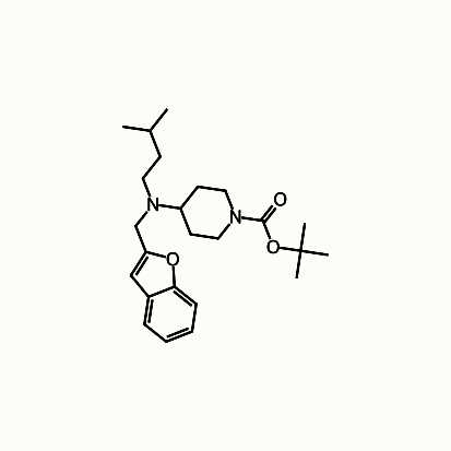 CC(C)CCN(Cc1cc2ccccc2o1)C1CCN(C(=O)OC(C)(C)C)CC1